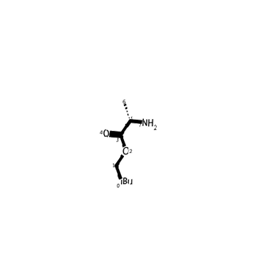 CCC(C)COC(=O)[C@H](C)N